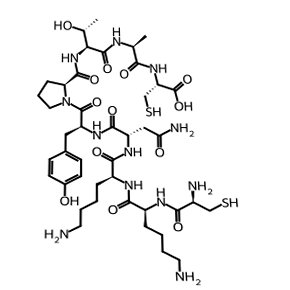 C[C@H](NC(=O)[C@@H](NC(=O)[C@@H]1CCCN1C(=O)[C@H](Cc1ccc(O)cc1)NC(=O)[C@H](CC(N)=O)NC(=O)[C@H](CCCCN)NC(=O)[C@H](CCCCN)NC(=O)[C@@H](N)CS)[C@@H](C)O)C(=O)N[C@@H](CS)C(=O)O